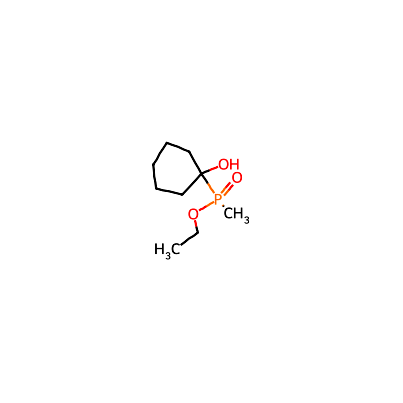 CCOP(C)(=O)C1(O)CCCCC1